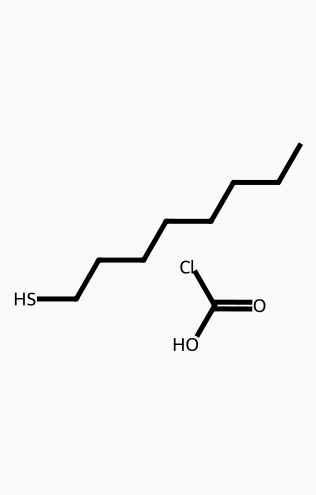 CCCCCCCCS.O=C(O)Cl